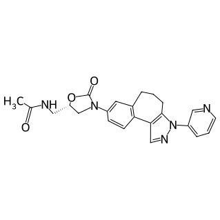 CC(=O)NC[C@H]1CN(c2ccc3c(c2)CCCc2c-3cnn2-c2cccnc2)C(=O)O1